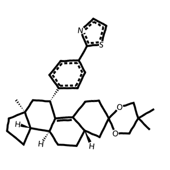 CC1(C)COC2(CCC3=C4[C@@H](CC[C@H]3C2)[C@@H]2CCC[C@@]2(C)C[C@@H]4c2ccc(-c3nccs3)cc2)OC1